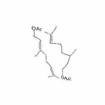 CC(=O)OC/C=C(\C)CCC=C(C)C.CC(=O)OCCC(C)CCC=C(C)C